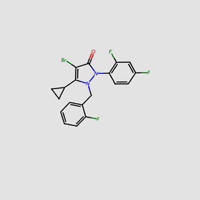 O=c1c(Br)c(C2CC2)n(Cc2ccccc2F)n1-c1ccc(F)cc1F